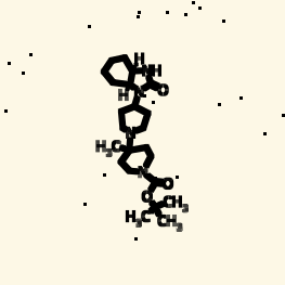 CC(C)(C)OC(=O)N1CCC(C)(N2CCC(N3C(=O)N[C@@H]4CCCC[C@@H]43)CC2)CC1